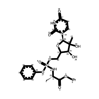 CC(C)OC(=O)[C@H](C)NP(=O)(OCC1O[C@@H](n2ccc(=O)[nH]c2=O)C(C)(O)[C@H]1O)Oc1ccccc1